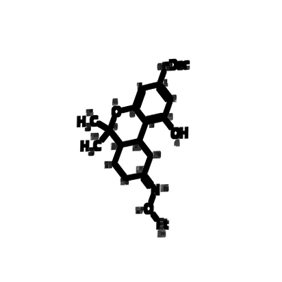 CCCCCCCCCCc1cc(O)c2c(c1)OC(C)(C)C1CCC(=NOCC)CC21